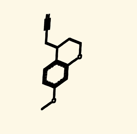 COc1ccc2c(c1)OCCC2CC#N